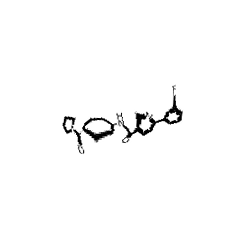 O=C(N[C@H]1CC[C@@H](C(=O)N2CCCC2)CC1)c1ccc(-c2cccc(F)c2)nc1